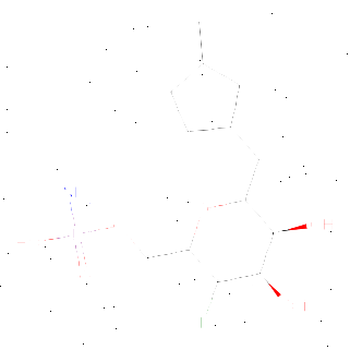 CC1CCC(CC2OC(COP(N)(=O)O)C(F)[C@H](O)[C@@H]2O)C1